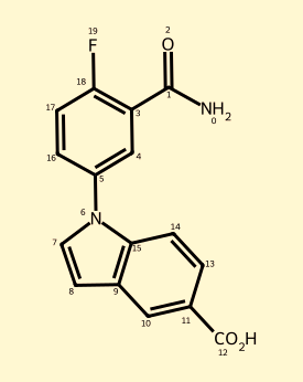 NC(=O)c1cc(-n2ccc3cc(C(=O)O)ccc32)ccc1F